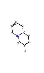 CC1CCC2CC=CCN2C1